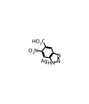 O=C(O)c1cc2nn[nH]c2cc1[N+](=O)[O-].[Ag]